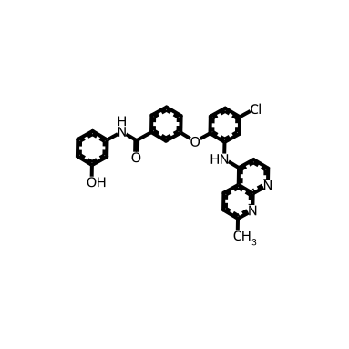 Cc1ccc2c(Nc3cc(Cl)ccc3Oc3cccc(C(=O)Nc4cccc(O)c4)c3)ccnc2n1